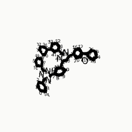 c1ccc(C2=NC(c3cccc(-c4cc(-c5ccc6c(c5)oc5ccccc56)nc(-c5cccc(-c6ccccc6)c5)n4)c3)NC(c3ccccc3)=N2)cc1